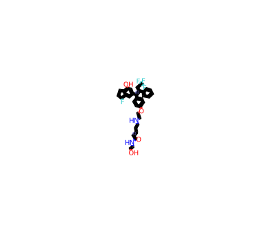 O=C(/C=C/CCNCCOc1ccc(/C(=C(/CC(F)(F)F)c2ccccc2)c2cc(O)c3c(c2)C(F)CC3)cc1)NCCO